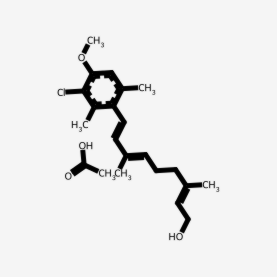 CC(=O)O.COc1cc(C)c(C=CC(C)=CCCC(C)=CCO)c(C)c1Cl